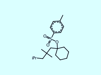 Cc1ccc(S(=O)(=O)OC2(CC(C)(C)CC(C)C)CCCCC2)cc1